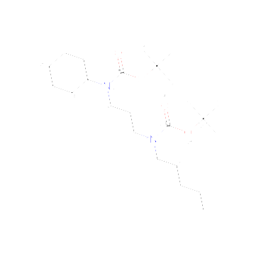 CCCCCN(CCCN(C(=O)OC(C)(C)C)C1CCCCC1)C(=O)OC(C)(C)C